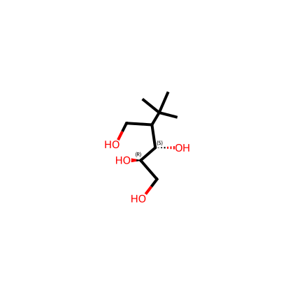 CC(C)(C)C(CO)[C@H](O)[C@H](O)CO